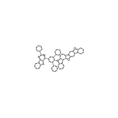 c1ccc(-c2nc(-c3cc(-c4ccccc4)c(-n4c5ccccc5c5c6oc7cc8c(cc7c6ccc54)oc4ccccc48)c(-c4ccccc4)c3)c3sc4ccccc4c3n2)cc1